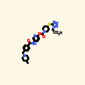 CC1CCN(Cc2ccc(C(=O)Nc3ccc(OC(=O)N4CCC(Sc5nnnn5CC(=O)O)CC4)nc3)cc2)CC1